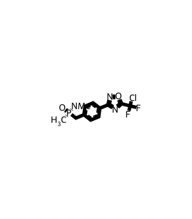 CNP(C)(=O)Cc1ccc(-c2noc(C(F)(F)Cl)n2)cc1